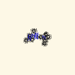 N=C(/N=C(\N=C\c1cccc2c1c1ccccc1n2-c1ccccc1)c1ccc(N2c3cc4ccccc4cc3-c3cccc4cccc2c34)cc1)c1ccccc1